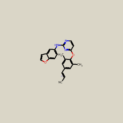 Cc1cc(/C=C/C#N)cc(C)c1Oc1ccnc(Nc2ccc3occc3c2)n1